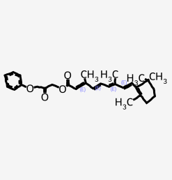 CC1=C(/C=C/C(C)=C/C=C/C(C)=C/C(=O)OCC(=O)COc2ccccc2)C(C)(C)CCC1